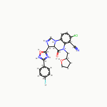 N#Cc1c(Cl)ccc2c1N(CC1CCCO1)C(=O)C1C(c3nc(-c4ccc(F)cc4)no3)N=CN21